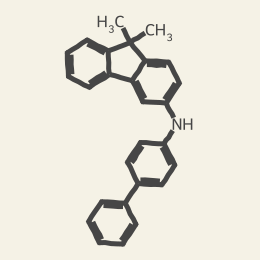 CC1(C)c2ccccc2-c2cc(Nc3ccc(-c4ccccc4)cc3)ccc21